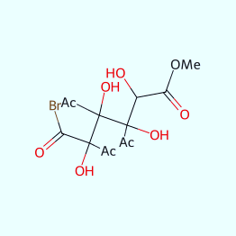 COC(=O)C(O)C(O)(C(C)=O)C(O)(C(C)=O)C(O)(C(C)=O)C(=O)Br